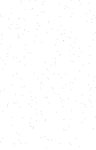 CC(C)(C)OC(=O)N1CCCC(COCCOCCO)C1